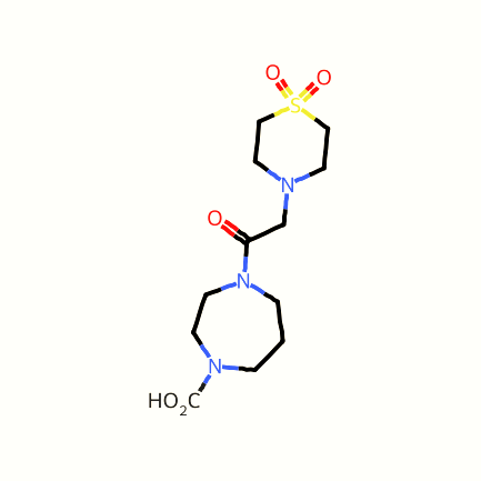 O=C(O)N1CCCN(C(=O)CN2CCS(=O)(=O)CC2)CC1